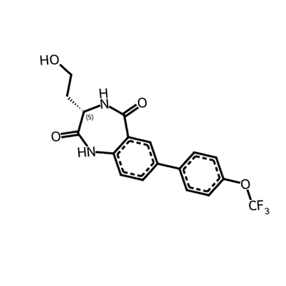 O=C1N[C@@H](CCO)C(=O)Nc2ccc(-c3ccc(OC(F)(F)F)cc3)cc21